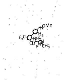 CO/N=C/c1ccc(-c2cc(C(F)(F)F)cc(Cl)c2NC(=O)c2c(C)nn(C)c2F)cc1